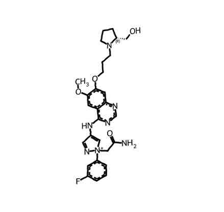 COc1cc2c(NC3=C[N+](CC(N)=O)(c4cccc(F)c4)N=C3)ncnc2cc1OCCCN1CCC[C@@H]1CO